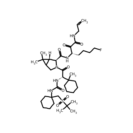 C=CCNC(=O)C(=O)[C@H](CCCCF)NC(=O)[C@@H]1[C@@H]2C(CN1C(=O)[C@@H](NC(=O)NC1(CS(=O)(=O)C(C)(C)C)CCCCC1)C1(C)CCCCC1)C2(C)C